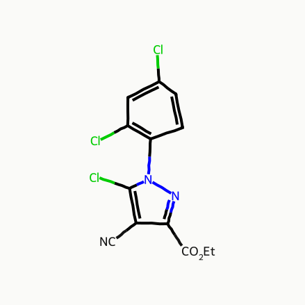 CCOC(=O)c1nn(-c2ccc(Cl)cc2Cl)c(Cl)c1C#N